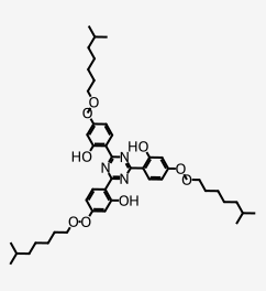 CC(C)CCCCCOOc1ccc(-c2nc(-c3ccc(OOCCCCCC(C)C)cc3O)nc(-c3ccc(OOCCCCCC(C)C)cc3O)n2)c(O)c1